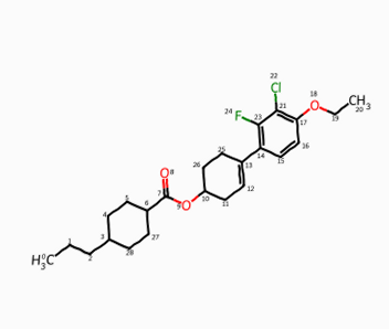 CCCC1CCC(C(=O)OC2CC=C(c3ccc(OCC)c(Cl)c3F)CC2)CC1